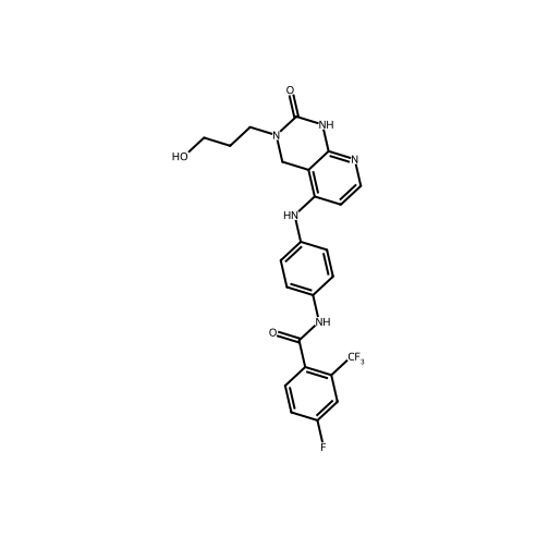 O=C(Nc1ccc(Nc2ccnc3c2CN(CCCO)C(=O)N3)cc1)c1ccc(F)cc1C(F)(F)F